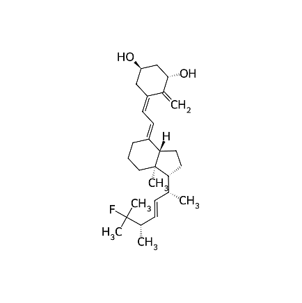 C=C1/C(=C\C=C2/CCC[C@]3(C)[C@@H]([C@H](C)/C=C/[C@H](C)C(C)(C)F)CC[C@@H]23)C[C@@H](O)C[C@@H]1O